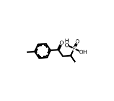 Cc1ccc(C(=O)CC(C)P(=O)(O)O)cc1